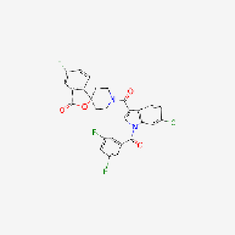 O=C1OC2(CCN(C(=O)c3cn(C(=O)c4cc(F)cc(F)c4)c4cc(Cl)ccc34)CC2)c2ccc(F)cc21